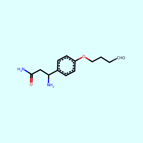 NC(=O)CC(N)c1ccc(OCCCC=O)cc1